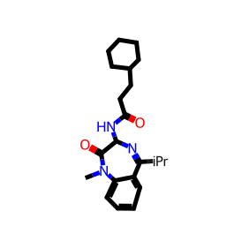 CC(C)C1=NC(NC(=O)CCC2CCCCC2)C(=O)N(C)c2ccccc21